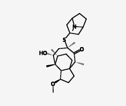 CO[C@@H]1CCC23CC[C@@H](C)[C@](C)(C12)[C@H](O)C[C@@](C)(SC1CC2CCC(C1)N2C)C(=O)[C@@H]3C